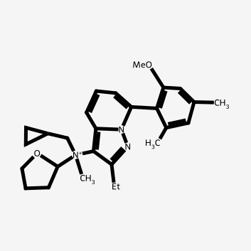 CCc1nn2c(-c3c(C)cc(C)cc3OC)cccc2c1[N+](C)(CC1CC1)C1CCCO1